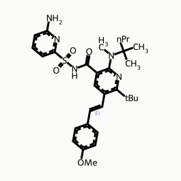 CCCC(C)(C)N(C)c1nc(C(C)(C)C)c(/C=C/c2ccc(OC)cc2)cc1C(=O)NS(=O)(=O)c1cccc(N)n1